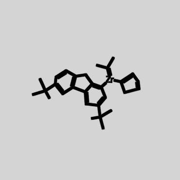 C[C](C)=[Zr]([C]1=CC=CC1)[c]1cc(C(C)(C)C)cc2c1Cc1ccc(C(C)(C)C)cc1-2